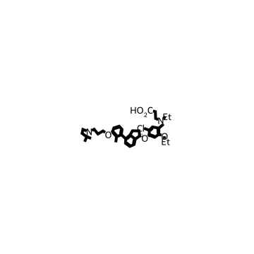 CCOc1cc(O[C@H]2CCc3c(-c4cccc(OCCCN5CCC5(C)C)c4C)cccc32)c(Cl)cc1CN(CC)CCC(=O)O